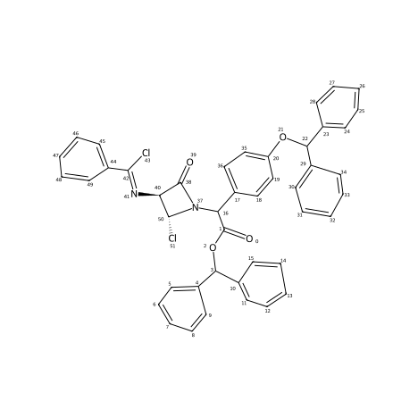 O=C(OC(c1ccccc1)c1ccccc1)C(c1ccc(OC(c2ccccc2)c2ccccc2)cc1)N1C(=O)[C@H](N=C(Cl)c2ccccc2)[C@H]1Cl